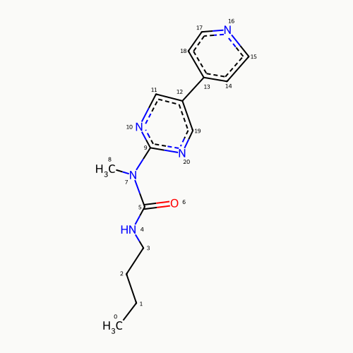 CCCCNC(=O)N(C)c1ncc(-c2ccncc2)cn1